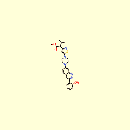 COC(=O)C(c1cc(N2CCN(c3ccc4cc(-c5ccccc5O)nnc4c3)CC2)sn1)C(C)C